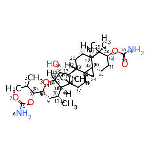 CC(C)[C@@H](OC(N)=O)[C@H]1C[C@@H](C)[C@H]2[C@H](O1)[C@H](O)[C@@]1(C)[C@@H]3CC[C@H]4C(C)(C)[C@@H](OC(N)=O)CC[C@@]45C[C@@]35CC[C@]21C